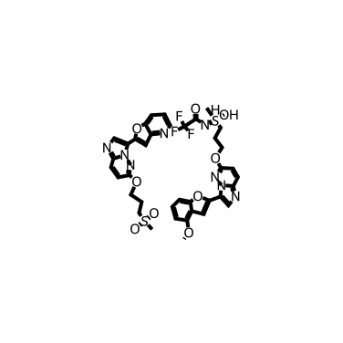 COc1cccc2oc(-c3cnc4ccc(OCCC[SH](C)(O)=NC(=O)C(F)(F)F)nn34)cc12.CS(=O)(=O)CCCOc1ccc2ncc(-c3cc4ncccc4o3)n2n1